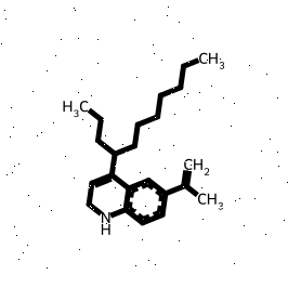 C=C(C)c1ccc2c(c1)C(C(CCC)CCCCCCC)=CCN2